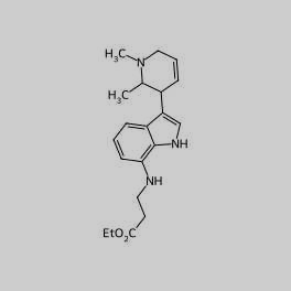 CCOC(=O)CCNc1cccc2c(C3C=CCN(C)C3C)c[nH]c12